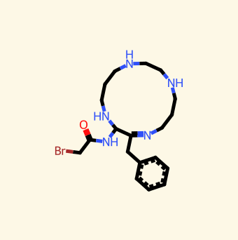 O=C(CBr)NC1NCCCNCCNCCCN=C1Cc1ccccc1